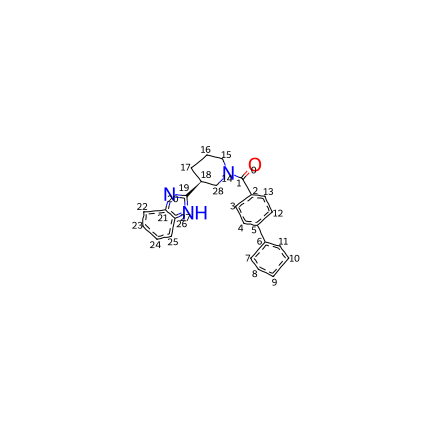 O=C(c1ccc(-c2ccccc2)cc1)N1CCC[C@H](c2nc3ccccc3[nH]2)C1